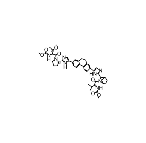 COC(=O)NC(C(=O)N1CCC[C@H]1c1ncc(-c2ccc3c(c2)CCc2cc(-c4cnc(C5C6CCC(C6)N5C(=O)[C@@H](NC(=O)OC)C(C)C)[nH]4)ccc2-3)[nH]1)[C@@H](C)OC